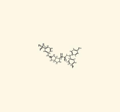 O=C(CC(c1ccc(F)cc1)c1ccc(F)cc1)NC1CCC2CN(Cc3cccc(C(F)(F)F)c3)CC21